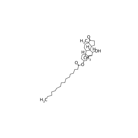 CCCCCCCCCCCCCCCC(=O)O[C@H]1CC[C@@]2(C)C(=CC(O)[C@@H]3[C@@H]2CC[C@]2(C)C(=O)CC[C@@H]32)C1